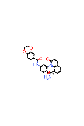 Cc1ccc(NC(=O)c2ccc3c(c2)OCCO3)cc1-n1c(=O)ccc2cccc(C(N)=O)c21